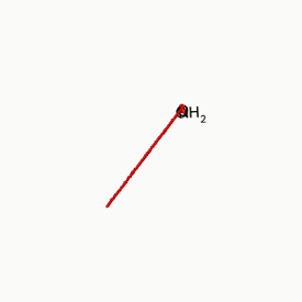 CCCCCCCCCCCCCCCCCCCCCCCCCCCCCCCCCCCCCCCCCCCCCCCCCCCCCCCCCCCCCCCCCCCCCCCCCCCCCCCCCCCCCCCCCCCCCCCCC=CCC(OC(N)=O)c1ccccc1